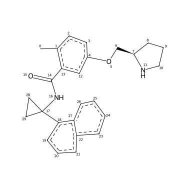 Cc1ccc(OC[C@H]2CCCN2)cc1C(=O)NC1(c2cccc3ccccc23)CC1